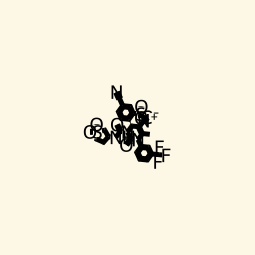 [C-]#[N+]C1=C(C)N(c2cccc(C(F)(F)F)c2)C(=O)N(C(=O)NC2CCS(=O)(=O)C2)[C@@H]1c1ccc(C#N)cc1S(C)(=O)=O